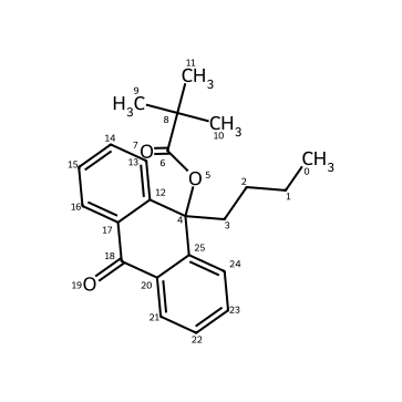 CCCCC1(OC(=O)C(C)(C)C)c2ccccc2C(=O)c2ccccc21